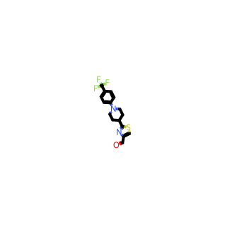 O=Cc1csc(C2CCN(c3ccc(C(F)(F)F)cc3)CC2)n1